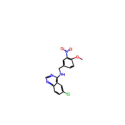 COc1ccc(CNc2ncnc3ccc(Cl)cc23)cc1[N+](=O)[O-]